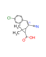 CC1(C)C(C(=O)O)C1/C(C#N)=C\c1ccc(Cl)cc1